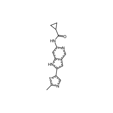 Cc1ncc(-c2cc3cnc(NC(=O)C4CC4)cc3[nH]2)s1